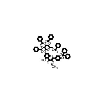 CCOc1c(-c2ccc3c(c2)OC(c2ccccc2)(c2ccccc2)O3)oc2cc(O[C@@H]3OC(COC(=O)c4ccccc4)[C@@H](OC(=O)c4ccccc4)C(OC(=O)c4ccccc4)[C@@H]3OC(=O)c3ccccc3)cc(O)c2c1=O